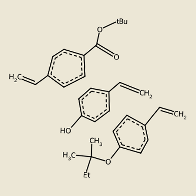 C=Cc1ccc(C(=O)OC(C)(C)C)cc1.C=Cc1ccc(O)cc1.C=Cc1ccc(OC(C)(C)CC)cc1